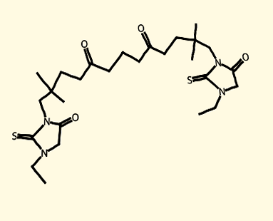 CCN1CC(=O)N(CC(C)(C)CCC(=O)CCCC(=O)CCC(C)(C)CN2C(=O)CN(CC)C2=S)C1=S